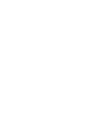 O=CCCc1ccc(OCc2cccc3c2N(CCc2ccccc2)CC3)cc1F